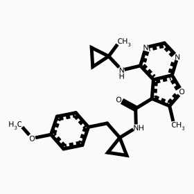 COc1ccc(CC2(NC(=O)c3c(C)oc4ncnc(NC5(C)CC5)c34)CC2)cc1